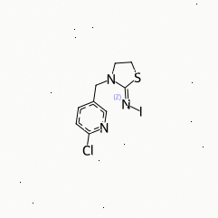 Clc1ccc(CN2CCS/C2=N\I)cn1